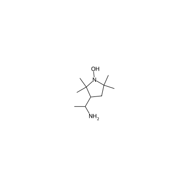 CC(N)C1CC(C)(C)N(O)C1(C)C